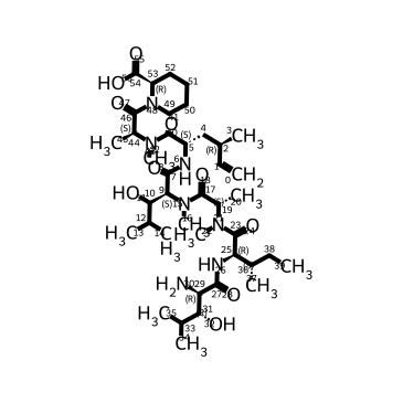 C=C[C@H](C)C[C@H](NC(=O)[C@H](C(O)C(C)C)N(C)C(=O)[C@H](C)N(C)C(=O)[C@H](NC(=O)[C@H](N)[C@H](O)C(C)C)[C@@H](C)CC)C(=O)N(C)[C@@H](C)C(=O)N1CCCC[C@@H]1C(=O)O